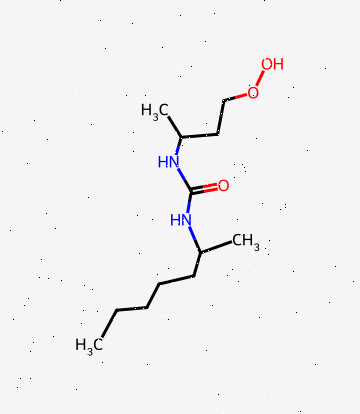 CCCCCC(C)NC(=O)NC(C)CCOO